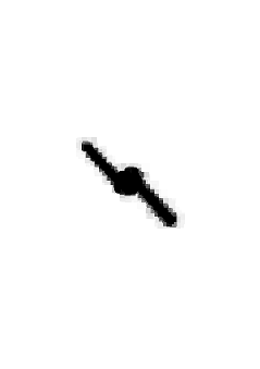 C=CCC=CCC=CCCCCCCCCOc1ccoc1C(=O)c1occc1OCCCCCCCCC=CCC=CCC=C